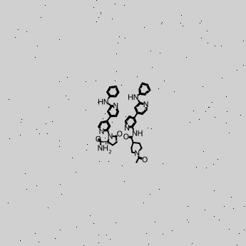 CC(=O)N1CCC(C(=O)Nc2cc(-c3ccnc(Nc4ccccc4)c3)ccn2)CC1.NC(=O)[C@@H]1CCC(=O)N1c1cc(-c2ccnc(Nc3ccccc3)c2)ccn1